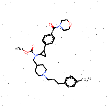 CCOC(=O)c1ccc(CCCN2CCC(CN(C(=O)OC(C)(C)C)C3CC3c3ccc(C(=O)N4CCOCC4)cc3)CC2)cc1